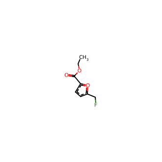 CCOC(=O)c1ccc(CF)o1